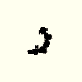 CC(C)(C)OC(=O)NCCOc1ccc(/C=C/C(=O)CC(=O)/C=C/c2ccc(OCCNC(=O)OC(C)(C)C)c3ccccc23)c2ccccc12